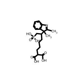 CC1=Nc2ccccc2C1(C)C(CCCCC(C(=O)O)C(=O)O)CP(=O)(O)O